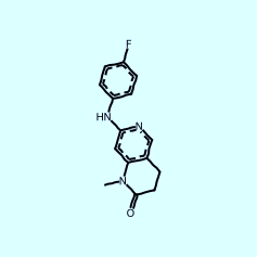 CN1C(=O)CCc2cnc(Nc3ccc(F)cc3)cc21